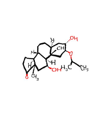 CC(C)O[C@H]1C[C@@]2(C)[C@@H](CC[C@@H]3[C@@H]2[C@@H](O)C[C@]2(C)C(=O)CC[C@@H]32)C[C@@H]1O